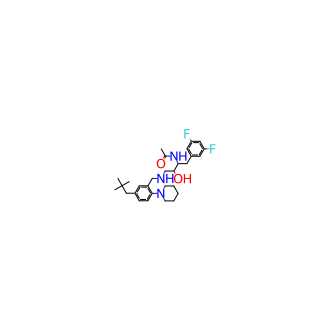 CC(=O)NC(Cc1cc(F)cc(F)c1)C(O)CNCc1cc(CC(C)(C)C)ccc1N1CCCCC1